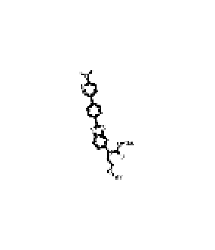 CCCOCCN(C(=O)OC(C)(C)C)c1ccc2nc(-c3ccc(-c4ccc(N(C)C)nc4)cc3)sc2c1